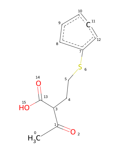 CC(=O)C(CCSc1ccccc1)C(=O)O